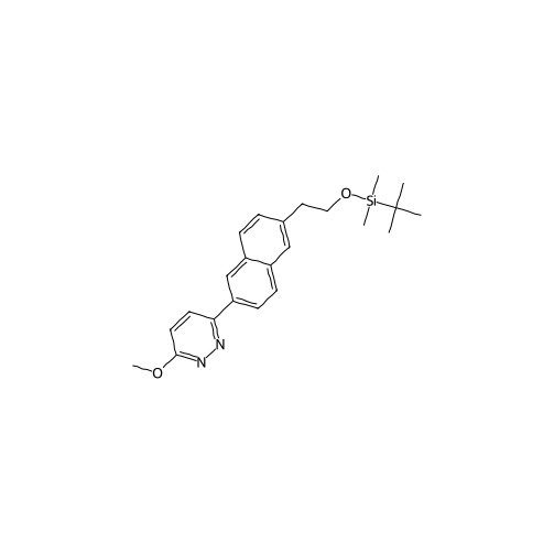 COc1ccc(-c2ccc3cc(CCO[Si](C)(C)C(C)(C)C)ccc3c2)nn1